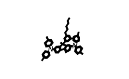 CCCCCCc1cc(C)cc(C2(C)c3cc(N(c4ccc(C)cc4)c4ccc(C)cc4)ccc3-c3ccc(N(c4ccc(C)cc4)c4ccc(C)cc4)cc32)c1